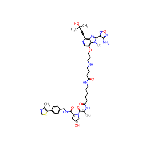 CCn1c(-c2nonc2N)nc2c(C#CC(C)(C)O)ncc(OCCCNCCCC(=O)NCCCCCC(=O)N[C@H](C(=O)N3C[C@H](O)C[C@H]3C(=O)NCc3ccc(-c4scnc4C)cc3)C(C)(C)C)c21